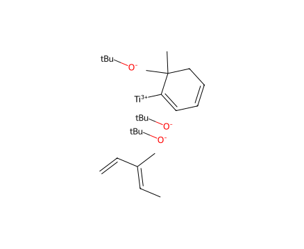 C=CC(C)=CC.CC(C)(C)[O-].CC(C)(C)[O-].CC(C)(C)[O-].CC1(C)CC=CC=[C]1[Ti+3]